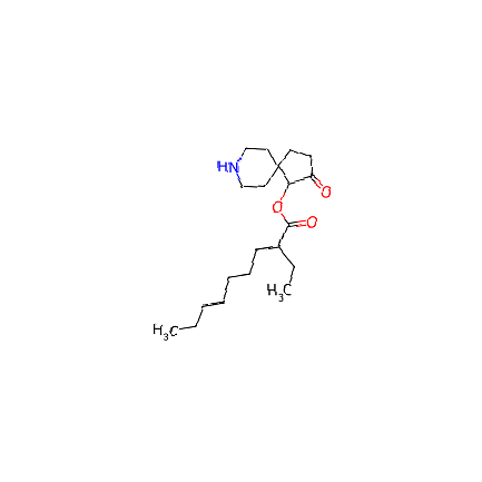 CCCCCCCC(CC)C(=O)OC1C(=O)CCC12CCNCC2